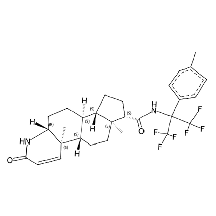 Cc1ccc(C(NC(=O)[C@H]2CC[C@H]3[C@@H]4CC[C@H]5NC(=O)C=C[C@]5(C)[C@H]4CC[C@]23C)(C(F)(F)F)C(F)(F)F)cc1